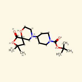 CC(C)(C)OC(=O)N1CCC(N2CCOC3(C2)CC(C)(C)OC3=O)CC1